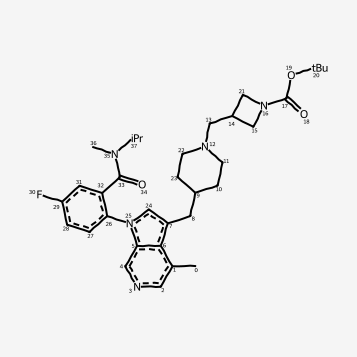 Cc1cncc2c1c(CC1CCN(CC3CN(C(=O)OC(C)(C)C)C3)CC1)cn2-c1ccc(F)cc1C(=O)N(C)C(C)C